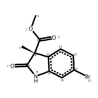 COC(=O)[C@@]1(C)C(=O)Nc2cc(Br)ccc21